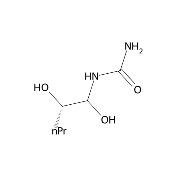 CCC[C@H](O)C(O)NC(N)=O